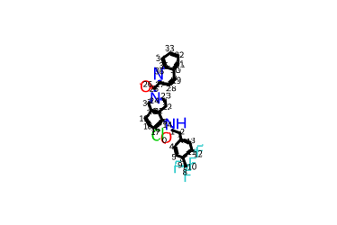 O=C(Cc1ccc(C(F)(F)F)c(F)c1)Nc1c(Cl)ccc2c1CCN(C(=O)c1ccc3ccccc3n1)C2